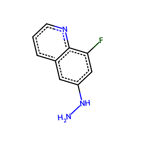 NNc1cc(F)c2ncccc2c1